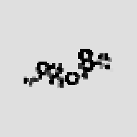 CCc1cccc(C)c1NC(=O)N[C@H]1CC[C@@H](Nc2cc(N(C)C)c3ccccc3n2)CC1